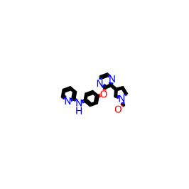 O=CN1CCC(c2nccnc2Oc2ccc(Nc3ccccn3)cc2)C1